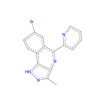 Cc1n[nH]c2c1nc(-c1ccccn1)c1cc(Br)ccc12